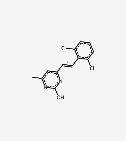 Cc1cc(/C=C/c2c(Cl)cccc2Cl)nc(O)n1